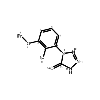 [3H]c1c(OC(C)C)cccc1-n1nn[nH]c1=O